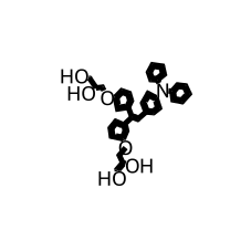 O/C=C(\O)COc1cccc(C(=Cc2ccc(N(c3ccccc3)c3ccccc3)cc2)c2cccc(OCC(O)CO)c2)c1